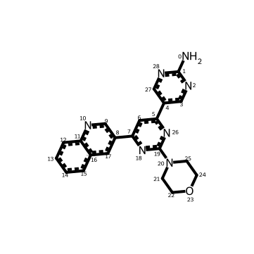 Nc1ncc(-c2cc(-c3cnc4ccccc4c3)nc(N3CCOCC3)n2)cn1